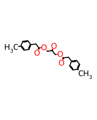 Cc1ccc(CC(=O)OCC(=O)COC(=O)Cc2ccc(C)cc2)cc1